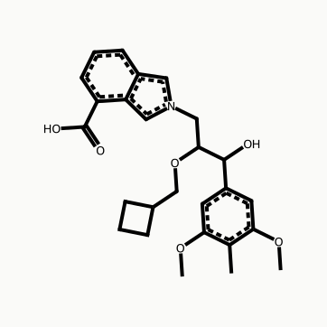 COc1cc(C(O)C(Cn2cc3cccc(C(=O)O)c3c2)OCC2CCC2)cc(OC)c1C